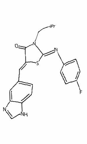 CC(C)CN1C(=O)C(=Cc2ccc3[nH]cnc3c2)SC1=Nc1ccc(F)cc1